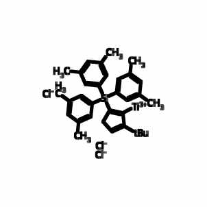 Cc1cc(C)cc([Si](C2=[C]([Ti+3])C(C(C)(C)C)=CC2)(c2cc(C)cc(C)c2)c2cc(C)cc(C)c2)c1.[Cl-].[Cl-].[Cl-]